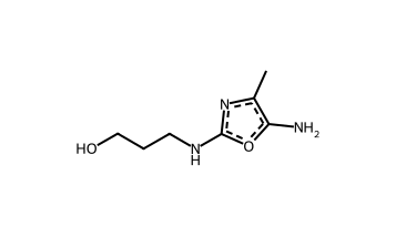 Cc1nc(NCCCO)oc1N